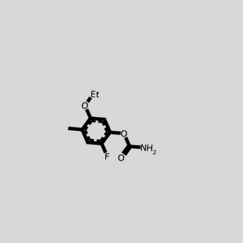 CCOc1cc(OC(N)=O)c(F)cc1C